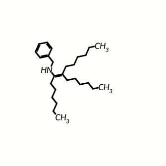 CCCCCCC(CCCCCC)=C(CCCCCC)NCc1ccccc1